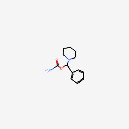 NC(=O)OC(c1ccccc1)N1CCCCC1